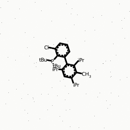 Cc1c(C(C)C)cc(C(C)C)c(-c2cccc(Cl)c2P(C(C)(C)C)C(C)(C)C)c1C(C)C